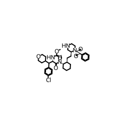 COC(=O)N[C@H](C(=O)N[C@H]1CCCC[C@@H]1CC[C@H]1CNCCN1S(=O)(=O)c1ccccc1)C(c1ccc(Cl)cc1)C1CCOCC1